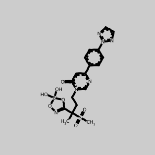 CC(CCn1cnc(-c2ccc(-n3nccn3)cc2)cc1=O)(C1=NO[B-](O)(O)O1)S(C)(=O)=O